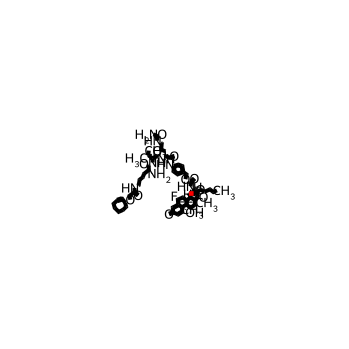 CCCC1O[C@@H]2C[C@H]3[C@@H]4C[C@H](F)C5=CC(=O)C=C[C@]5(C)[C@@]4(F)[C@@H](O)C[C@]3(C)[C@]2(C(=O)CNC(=O)OCc2ccc(NC(=O)[C@H](CCCNC(N)=O)NC(=O)C(NC(=O)[C@H](N)CCCCNC(=O)COC3C#CCCCCC3)C(C)C)cc2)O1